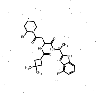 CCC1CCCCN1C(=O)CC(NC(=O)C1CC(C)(C)C1)C(=O)N[C@@H](C)c1nc2c(F)cccc2[nH]1